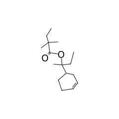 CCC(C)(C)C(=O)OC(C)(CC)C1CC=CCC1